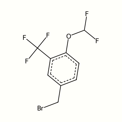 FC(F)Oc1ccc(CBr)cc1C(F)(F)F